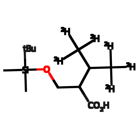 [2H]C([2H])([2H])C(C(CO[Si](C)(C)C(C)(C)C)C(=O)O)C([2H])([2H])[2H]